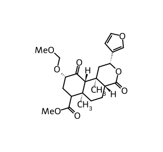 COCO[C@H]1CC(C(=O)OC)[C@]2(C)CC[C@H]3C(=O)O[C@@H](c4ccoc4)C[C@]3(C)[C@H]2C1=O